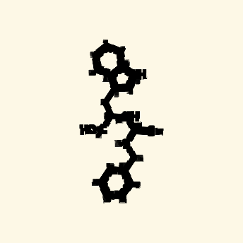 O=C(O)C(Cc1c[nH]c2ccccc12)NC(=S)SCc1ccccc1